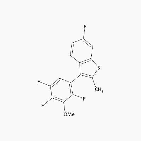 COc1c(F)c(F)cc(-c2c(C)sc3cc(F)ccc23)c1F